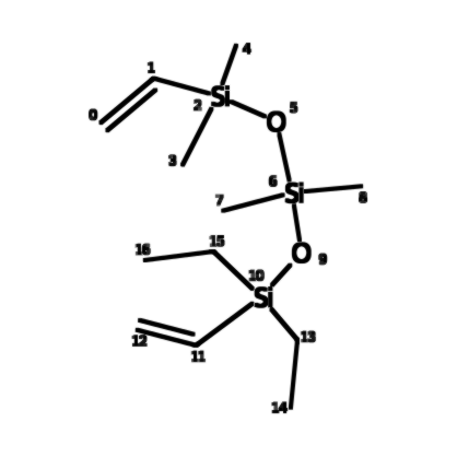 C=C[Si](C)(C)O[Si](C)(C)O[Si](C=C)(CC)CC